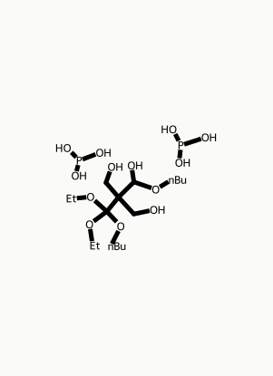 CCCCOC(O)C(CO)(CO)C(OCC)(OCC)OCCCC.OP(O)O.OP(O)O